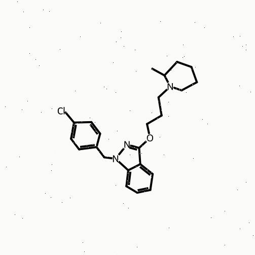 CC1CCCCN1CCCOc1nn(Cc2ccc(Cl)cc2)c2ccccc12